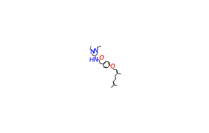 CCN1CC(NC(=O)Cc2ccc(OCC=C(C)CCC=C(C)C)cc2)CN1CC